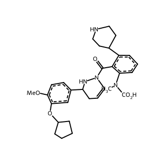 COc1ccc(C2CC=CN(C(=O)c3c(C4CCNCC4)cccc3N(C)C(=O)O)N2)cc1OC1CCCC1